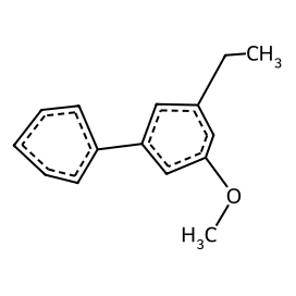 CCc1cc(OC)cc(-c2ccccc2)c1